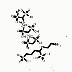 NC(P(=O)(O)O)P(=O)(O)O.NCCNC(CCCP(=O)(O)O)P(=O)(O)O.O=P(O)(O)CP(=O)(O)O.O=P(O)(O)CP(=O)(O)O